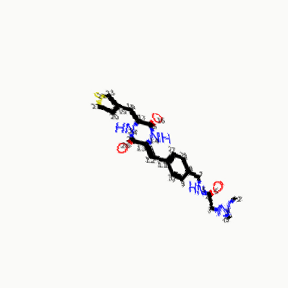 CN(C)CC(=O)NCc1ccc(C=c2[nH]c(=O)c(=Cc3ccsc3)[nH]c2=O)cc1